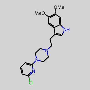 COc1cc2[nH]cc(CCN3CCN(c4cccc(Cl)n4)CC3)c2cc1OC